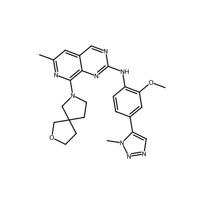 COc1cc(-c2cnnn2C)ccc1Nc1ncc2cc(C)nc(N3CCC4(CCOC4)C3)c2n1